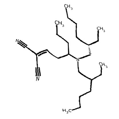 CCCCC(CC)CN(C[C@@H](CC)CCCC)C(CC=C(C#N)C#N)CCC